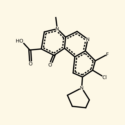 Cn1cc(C(=O)O)c(=O)c2c3cc(N4CCCC4)c(Cl)c(F)c3ncc21